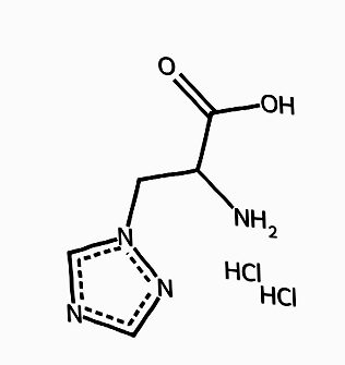 Cl.Cl.NC(Cn1cncn1)C(=O)O